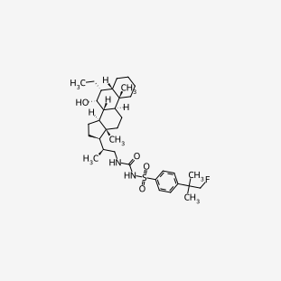 CC[C@H]1[C@@H](O)[C@@H]2[C@H](CC[C@]3(C)[C@@H]([C@H](C)CNC(=O)NS(=O)(=O)c4ccc(C(C)(C)CF)cc4)CC[C@@H]23)[C@@]2(C)CCCC[C@@H]12